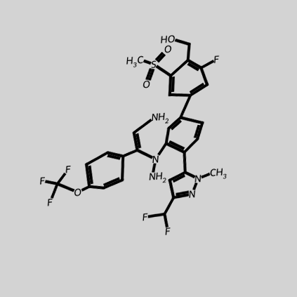 Cn1nc(C(F)F)cc1-c1ccc(-c2cc(F)c(CO)c(S(C)(=O)=O)c2)cc1N(N)/C(=C\N)c1ccc(OC(F)(F)F)cc1